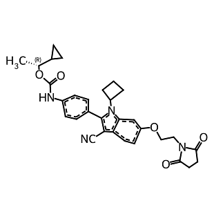 C[C@@H](OC(=O)Nc1ccc(-c2c(C#N)c3ccc(OCCN4C(=O)CCC4=O)cc3n2C2CCC2)cc1)C1CC1